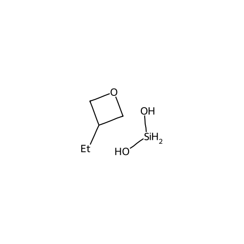 CCC1COC1.O[SiH2]O